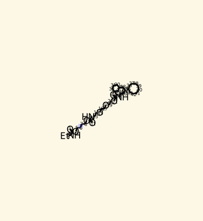 CCNC(=O)OC/C=C/COC(=O)NCCOCCOCCOC(=O)NCCN(CC1CCCCC1)C1CCCCCCCC1